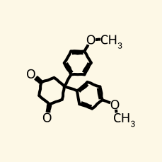 COc1ccc(C2(c3ccc(OC)cc3)CC(=O)CC(=O)C2)cc1